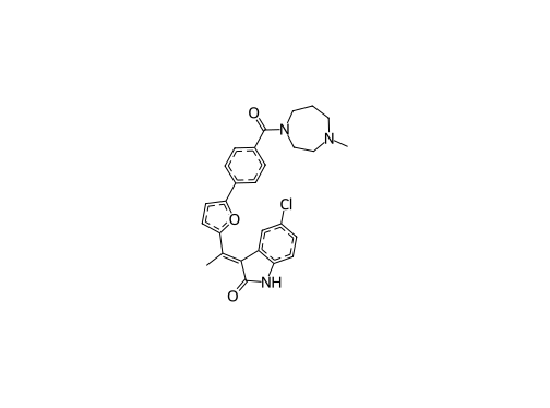 CC(=C1C(=O)Nc2ccc(Cl)cc21)c1ccc(-c2ccc(C(=O)N3CCCN(C)CC3)cc2)o1